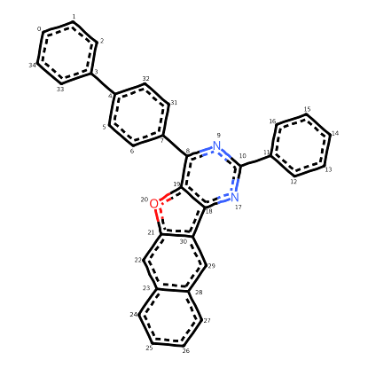 c1ccc(-c2ccc(-c3nc(-c4ccccc4)nc4c3oc3cc5ccccc5cc34)cc2)cc1